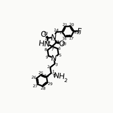 N[C@@H](CCN1CCC2(CC1)NC(=O)N(Cc1ccc(F)cc1)C2=O)c1ccccc1